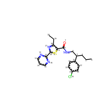 CCCC(CNC(=O)c1sc(-c2ncccn2)nc1CC)c1ccc(Cl)cc1